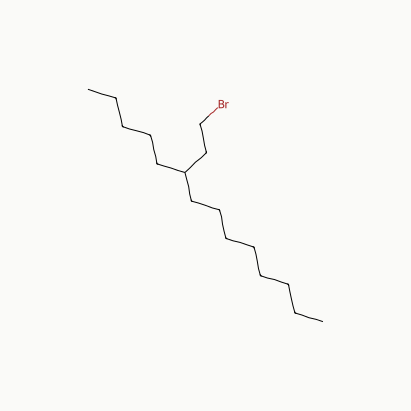 CCCCCCCCC(CCBr)CCCCC